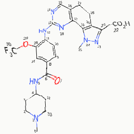 CN1CCC(NC(=O)c2ccc(Nc3ncc4c(n3)-c3c(c(C(=O)O)nn3C)CC4)c(OC(F)(F)F)c2)CC1